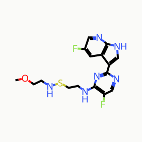 COCCNSCCNc1nc(-c2c[nH]c3ncc(F)cc23)ncc1F